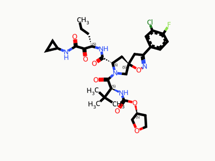 CCC[C@H](NC(=O)[C@@H]1C[C@]2(CC(c3ccc(F)c(Cl)c3)=NO2)CN1C(=O)[C@@H](NC(=O)O[C@H]1CCOC1)C(C)(C)C)C(=O)C(=O)NC1CC1